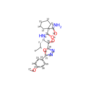 CCC[C@H](NC(=O)C1(C(N)=O)CCCCC1)C(=O)c1nnc(-c2ccc(OC)cc2)o1